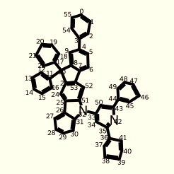 c1ccc(-c2ccc3c(c2)C(c2ccccc2)(c2ccccc2)c2cc4c5ccccc5n(-c5cc(-c6ccccc6)nc(-c6ccccc6)c5)c4cc2-3)cc1